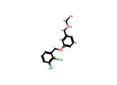 Clc1cccc(COc2cccc(COCI)c2)c1Cl